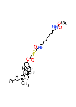 CC(C)CCC[C@@H](C)[C@H]1CC[C@H]2[C@@H]3CC=C4C[C@@H](OC(=O)CSSCC(=O)NCCCCCCCCCCNC(=O)OC(C)(C)C)CC[C@]4(C)[C@H]3CC[C@]12C